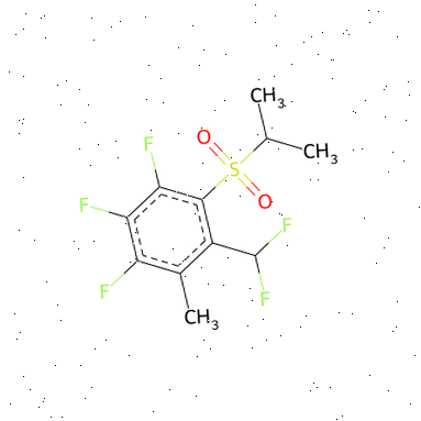 Cc1c(F)c(F)c(F)c(S(=O)(=O)C(C)C)c1C(F)F